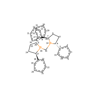 c1ccc([C@H]2CC[C@H](c3ccccc3)P2CP2[C@@H](c3ccccc3)CC[C@@H]2c2ccccc2)cc1